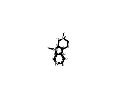 CN1CCc2c(n(C)c3cnccc23)C1